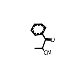 CC(C#N)C(=O)c1ccccc1